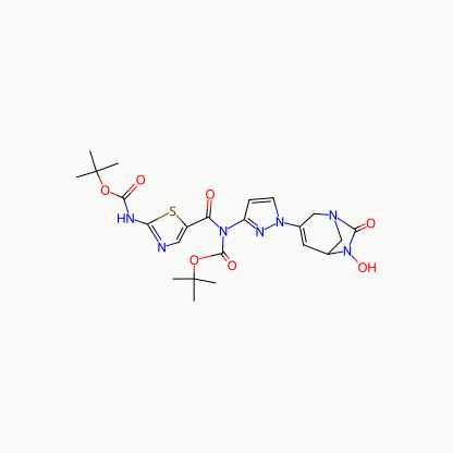 CC(C)(C)OC(=O)Nc1ncc(C(=O)N(C(=O)OC(C)(C)C)c2ccn(C3=CC4CN(C3)C(=O)N4O)n2)s1